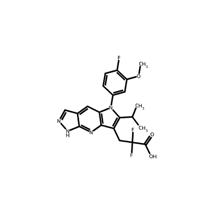 COc1cc(-n2c(C(C)C)c(CC(F)(F)C(=O)O)c3nc4[nH]ncc4cc32)ccc1F